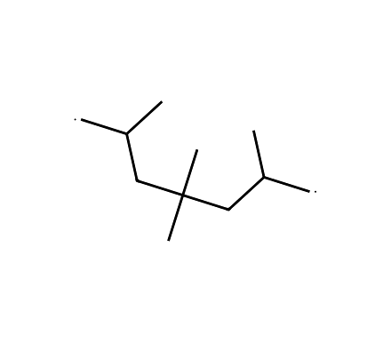 [CH2]C(C)CC(C)(C)CC([CH2])C